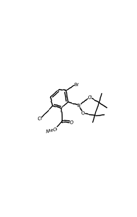 COC(=O)c1c(Cl)ccc(Br)c1B1OC(C)(C)C(C)(C)O1